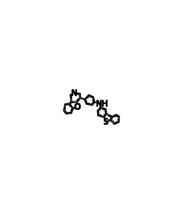 c1ccc2c(c1)oc1c(-c3ccc(Nc4ccc5sc6ccccc6c5c4)cc3)cncc12